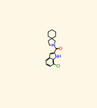 O=C(c1cc2cccc(Cl)c2[nH]1)N1CCC2(CCCCC2)C1